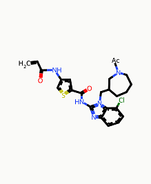 C=CC(=O)Nc1csc(C(=O)Nc2nc3cccc(Cl)c3n2CC2CCCCN(C(C)=O)C2)c1